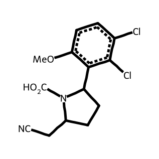 COc1ccc(Cl)c(Cl)c1C1CCC(CC#N)N1C(=O)O